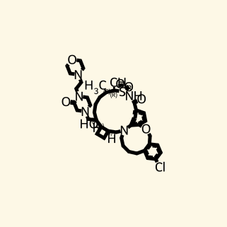 C[C@@H]1[C@@H](C)CCC[C@](O)(CN2CCN(CCN3CCOCC3)C(=O)C2)[C@@H]2CC[C@H]2CN2CCCCc3cc(Cl)ccc3COc3ccc(cc32)C(=O)NS1(=O)=O